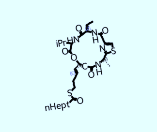 C/C=C1\NC(=O)c2csc(n2)[C@H](C)NC(=O)C[C@@H](/C=C/CCSC(=O)CCCCCCC)OC(=O)C(C(C)C)NC1=O